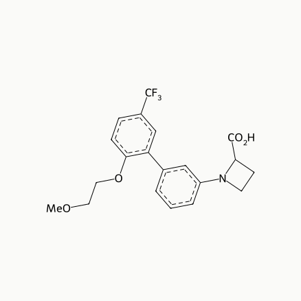 COCCOc1ccc(C(F)(F)F)cc1-c1cccc(N2CCC2C(=O)O)c1